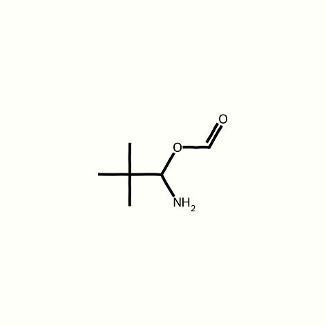 CC(C)(C)C(N)OC=O